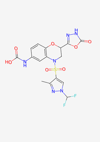 Cc1nn(C(F)F)cc1S(=O)(=O)N1CC(c2n[nH]c(=O)o2)Oc2ccc(NC(=O)O)cc21